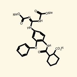 COC(=O)N=C(NC(=O)OC)Nc1ccc(NC(=O)C2CCCCC2C(=O)O)c(Oc2ccccc2)c1